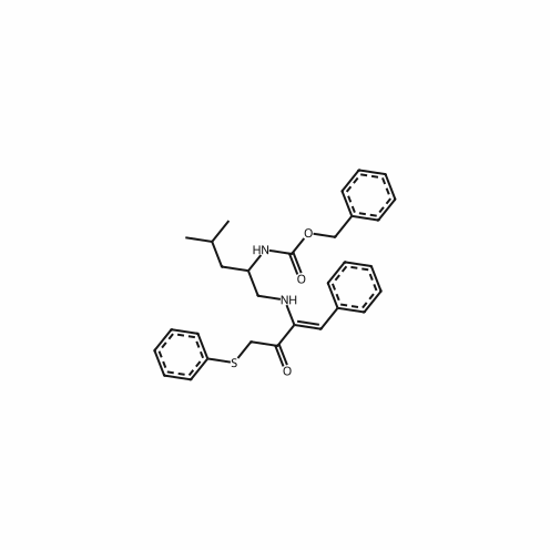 CC(C)CC(CNC(=Cc1ccccc1)C(=O)CSc1ccccc1)NC(=O)OCc1ccccc1